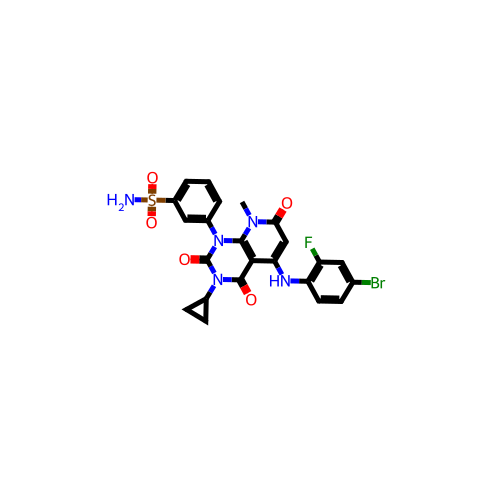 Cn1c(=O)cc(Nc2ccc(Br)cc2F)c2c(=O)n(C3CC3)c(=O)n(-c3cccc(S(N)(=O)=O)c3)c21